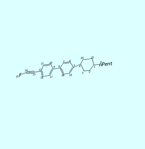 CCCCCC1CCC(c2ccc(-c3ccc(C#CF)cc3)cc2)CC1